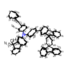 CC1(C)c2ccccc2-c2ccc(N(c3ccc(-c4ccccc4)cc3)c3ccc(-c4ccc5c(c4)C4(CCC6(CC4)c4ccccc4-c4ccccc46)c4ccccc4-5)cc3)cc21